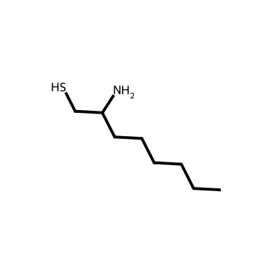 CCCCCCC(N)CS